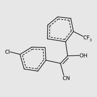 N#C/C(=C(\O)c1ccccc1C(F)(F)F)c1ccc(Cl)cc1